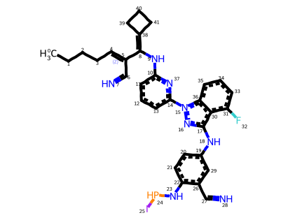 CCCC/C=C(\C=N)C(Nc1cccc(-n2nc(Nc3ccc(NPI)c(C=N)c3)c3c(F)cccc32)n1)=C1CCC1